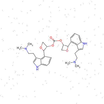 CN(C)CCc1c[nH]c2cccc(C3OCC3OC(=O)OC3COC3c3cccc4[nH]cc(CCN(C)C)c34)c12